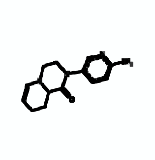 Nc1ccc(N2CCN3C=CCCC3C2=O)cn1